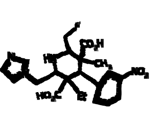 CCC1(C(=O)O)C(Cn2ccnc2)NC(CF)C(C)(C(=O)O)C1c1cccc([N+](=O)[O-])c1